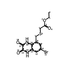 CCOC(=O)CSCc1cc(Br)cc2[nH]c(=O)c(=O)[nH]c12